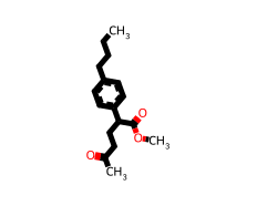 CCCCc1ccc(C(CCC(C)=O)C(=O)OC)cc1